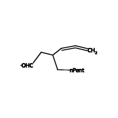 C=C=CC(C[C]=O)CCCCCC